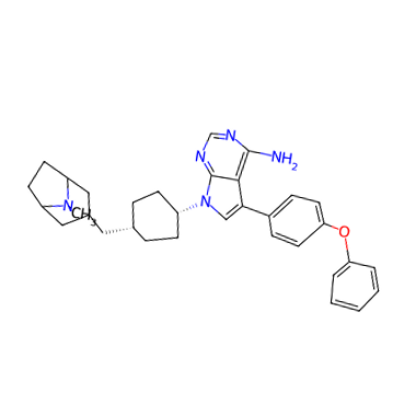 CN1C2CCC1CC(C[C@H]1CC[C@@H](n3cc(-c4ccc(Oc5ccccc5)cc4)c4c(N)ncnc43)CC1)C2